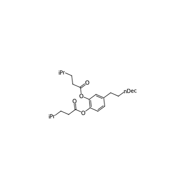 CCCCCCCCCCCCc1ccc(OC(=O)CCC(C)C)c(OC(=O)CCC(C)C)c1